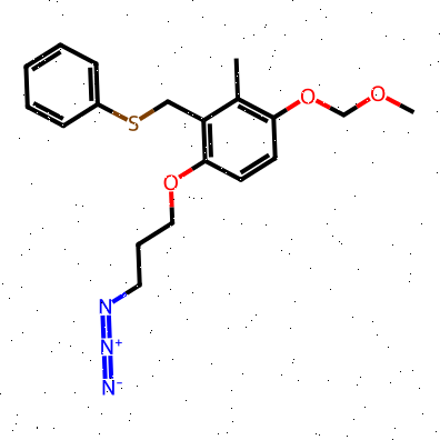 COCOc1ccc(OCCCN=[N+]=[N-])c(CSc2ccccc2)c1C